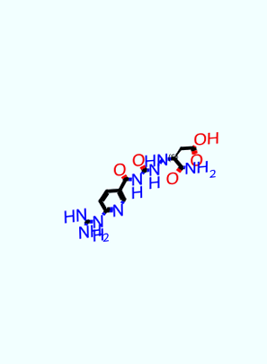 N=C(N)Nc1ccc(C(=O)NC(=O)NN[C@@H](CC(=O)O)C(N)=O)cn1